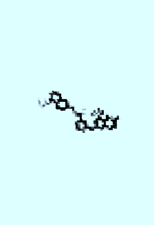 Cc1ccc2cc(Cc3cc(C(=O)NCC4=CC5C=CN=C(N)C5C=C4)ccn3)cc(S(C)(=O)=O)c2n1